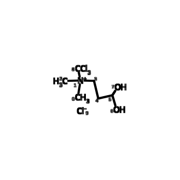 C[N+](C)(CCC(O)O)C(Cl)(Cl)Cl.[Cl-]